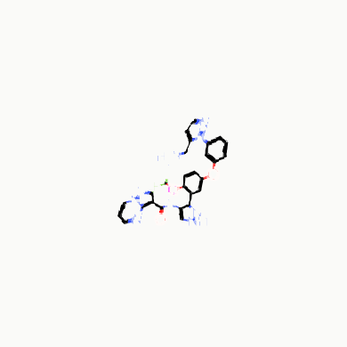 NCc1ccnn1-c1cccc(Oc2ccc(OC(F)F)c(-c3n[nH]cc3NC(=O)c3cnn4cccnc34)c2)c1